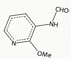 COc1ncccc1N[C]=O